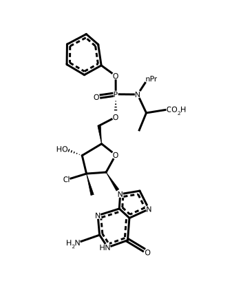 CCCN(C(C)C(=O)O)[P@](=O)(OC[C@H]1O[C@@H](n2cnc3c(=O)[nH]c(N)nc32)[C@](C)(Cl)[C@@H]1O)Oc1ccccc1